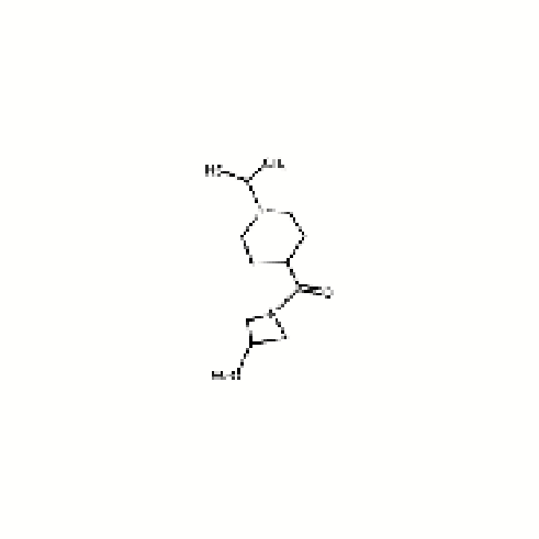 COC1CN(C(=O)C2CCN(C(C)S)CC2)C1